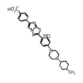 C[C@H]1CC[C@@H](N2CCN(c3ccc(-c4nn5cc(-c6ccc(C(=O)O)cc6)nc5s4)cc3)CC2)CC1.Cl